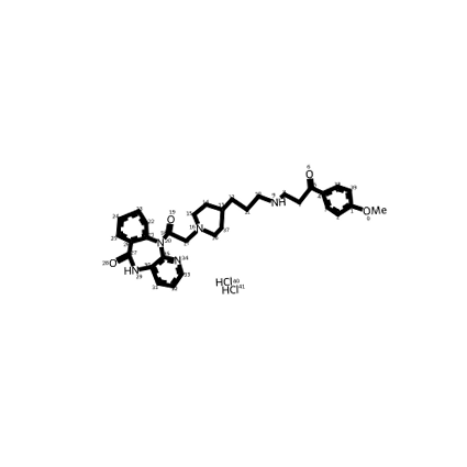 COc1ccc(C(=O)CCNCCCC2CCN(CC(=O)N3c4ccccc4C(=O)Nc4cccnc43)CC2)cc1.Cl.Cl